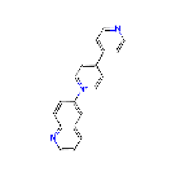 c1cnc2ccc(-[n+]3ccc(-c4ccncc4)cc3)cc2c1